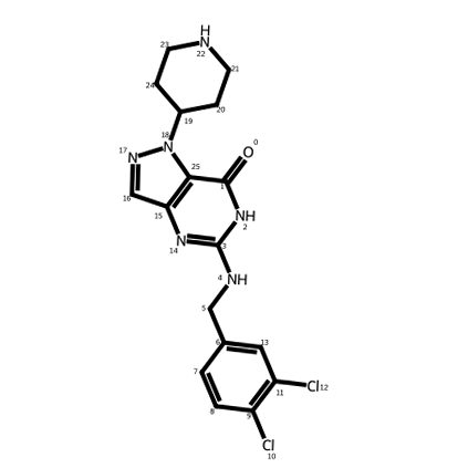 O=c1[nH]c(NCc2ccc(Cl)c(Cl)c2)nc2cnn(C3CCNCC3)c12